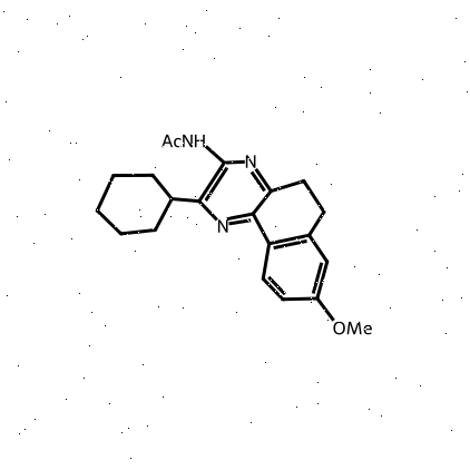 COc1ccc2c(c1)CCc1nc(NC(C)=O)c(C3CCCCC3)nc1-2